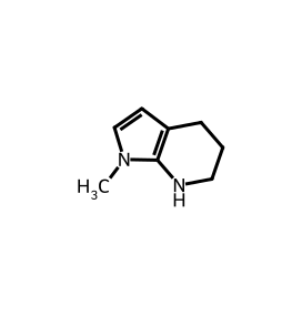 Cn1ccc2c1NCCC2